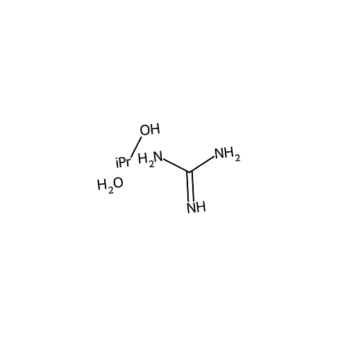 CC(C)O.N=C(N)N.O